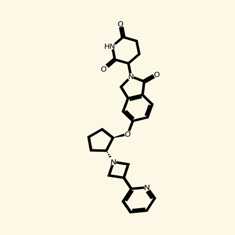 O=C1CCC(N2Cc3cc(O[C@@H]4CCC[C@H]4N4CC(c5ccccn5)C4)ccc3C2=O)C(=O)N1